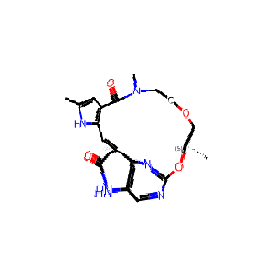 Cc1cc2c([nH]1)/C=C1\C(=O)Nc3cnc(nc31)O[C@@H](C)COCCN(C)C2=O